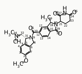 COc1ccc2c(c1)CN(C(=O)c1ccc3c(c1)[C@@H](C)N(C1CCC(=O)NC1=O)C3=O)[C@H]2CN(C)C